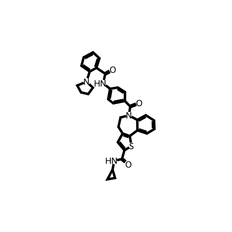 O=C(NC1CC1)c1cc2c(s1)-c1ccccc1N(C(=O)c1ccc(NC(=O)c3ccccc3N3CCCC3)cc1)CC2